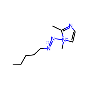 CCCCC/N=N/[N+]1(C)C=CN=C1C